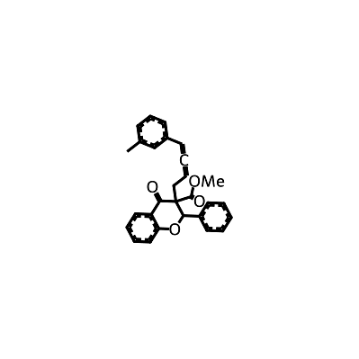 COC(=O)C1(CC=C=Cc2cccc(C)c2)C(=O)c2ccccc2OC1c1ccccc1